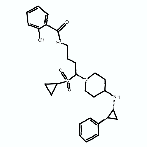 O=C(NCCCC(N1CCC(N[C@@H]2C[C@H]2c2ccccc2)CC1)S(=O)(=O)C1CC1)c1ccccc1O